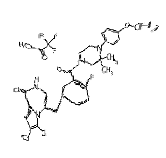 COc1ccc(N2CCN(C(=O)c3cc(Cc4c[nH]c(=O)c5cc(Cl)c(Cl)n45)ccc3F)CC2(C)C)cc1.O=C(O)C(F)(F)F